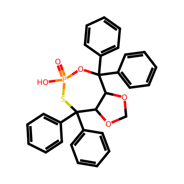 O=P1(O)OC(c2ccccc2)(c2ccccc2)C2OCOC2C(c2ccccc2)(c2ccccc2)S1